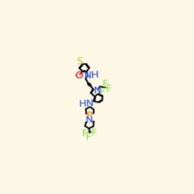 COc1cc(SC)ccc1NCC#Cc1cc2c(NC3CCP(N4CCC(C(F)(F)F)CC4)CC3)cccc2n1CC(F)(F)F